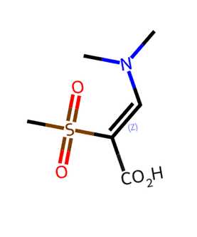 CN(C)/C=C(/C(=O)O)S(C)(=O)=O